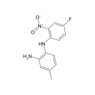 Cc1ccc(Nc2ccc(F)cc2[N+](=O)[O-])c(N)c1